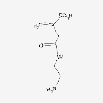 C=C(CC(=O)NCCN)C(=O)O